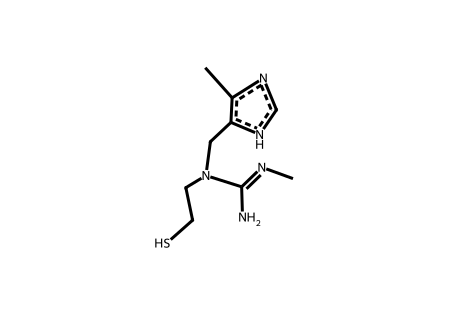 CN=C(N)N(CCS)Cc1[nH]cnc1C